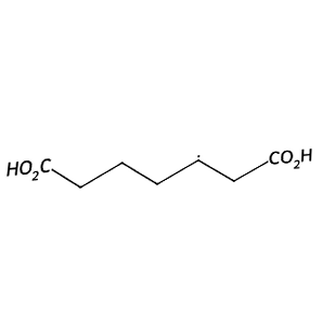 O=C(O)C[CH]CCCC(=O)O